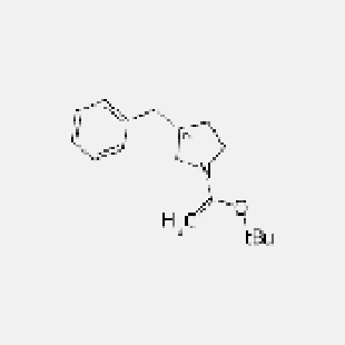 C=C(OC(C)(C)C)N1CC[C@@H](Cc2ccccc2)C1